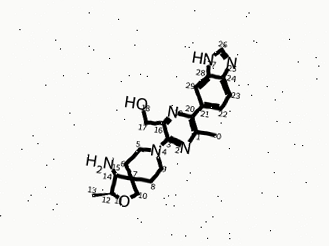 Cc1nc(N2CCC3(CC2)CO[C@@H](C)C3N)c(CO)nc1-c1ccc2nc[nH]c2c1